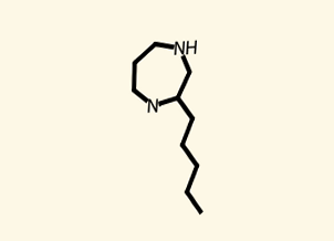 CCCCCC1CNCCC[N]1